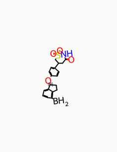 Bc1cccc2c1CC[C@H]2Oc1ccc(C2CC(=O)NS(=O)(=O)C2)cc1